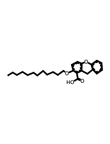 CCCCCCCCCCCCOc1ccc2c(c1C(=O)O)Cc1ccccc1O2